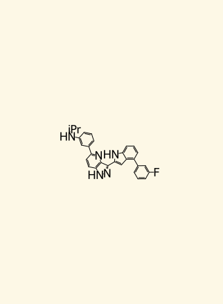 CC(C)Nc1cccc(-c2ccc3[nH]nc(-c4cc5c(-c6cccc(F)c6)cccc5[nH]4)c3n2)c1